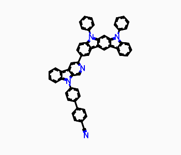 N#Cc1ccc(-c2ccc(-n3c4ccccc4c4cc(-c5ccc6c(c5)c5cc7c8ccccc8n(-c8ccccc8)c7cc5n6-c5ccccc5)ncc43)cc2)cc1